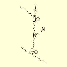 CCCCCCCCC(CCCCCC)C(=O)OCCCCCCN(CCCC#N)CCCCCCOC(=O)[C@@H](CCCCCC)CCCCCCCC